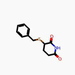 O=C1CCC(SCc2ccccc2)C(=O)N1